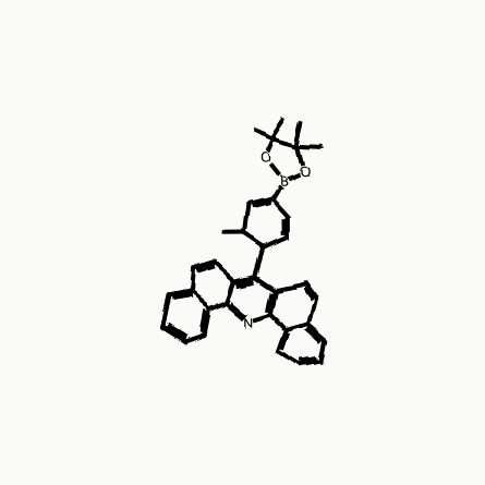 CC1C=C(B2OC(C)(C)C(C)(C)O2)C=CC1c1c2ccc3ccccc3c2nc2c1ccc1ccccc12